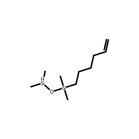 C=CCCCC[Si](C)(C)O[SiH](C)C